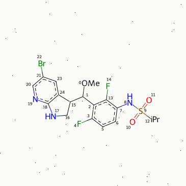 COC(c1c(F)ccc(NS(=O)(=O)C(C)C)c1F)C1CNc2ncc(Br)cc21